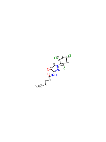 CCCCCCCCCCCCCC(=O)NC1=NN(c2c(Cl)cc(Cl)cc2Cl)CC1=O